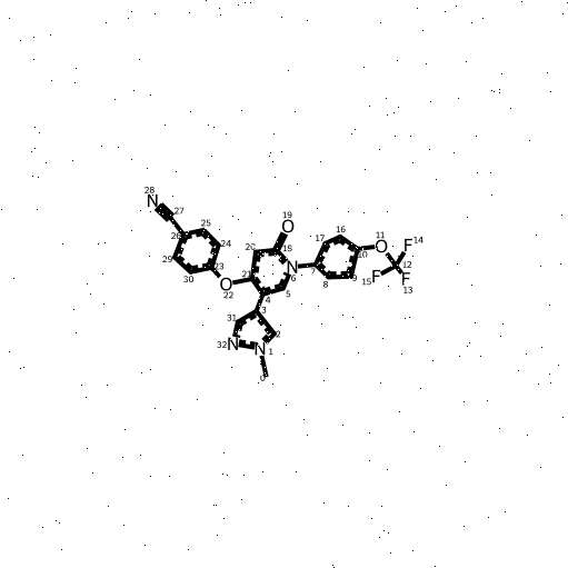 Cn1cc(-c2cn(-c3ccc(OC(F)(F)F)cc3)c(=O)cc2Oc2ccc(C#N)cc2)cn1